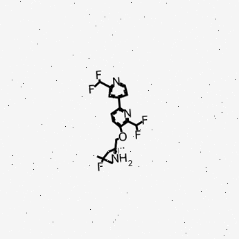 CC(C)(F)C[C@](C)(N)COc1ccc(-c2ccnc(C(F)F)c2)nc1C(F)F